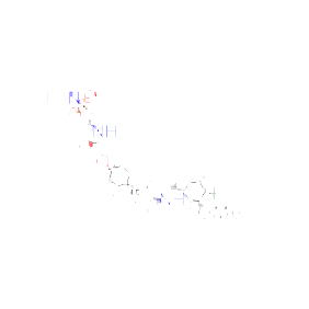 COc1cc([C@@H](C)N[C@H]2CC[C@@H](c3ccc(OCC(=O)NCCS(N)(=O)=O)cc3)C2)ccc1F